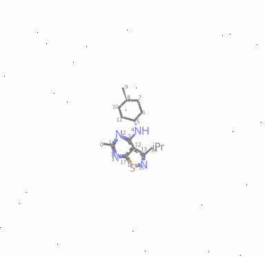 Cc1nc(N[C@H]2CC[C@H](C)CC2)c2c(C(C)C)nsc2n1